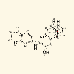 Oc1cc2c(cc1Nc1ccc3c(c1)OCCO3)C[C@@H]1NCC[C@]23CCCC[C@H]13